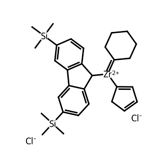 C[Si](C)(C)c1ccc2c(c1)-c1cc([Si](C)(C)C)ccc1[CH]2[Zr+2]([C]1=CC=CC1)=[C]1CCCCC1.[Cl-].[Cl-]